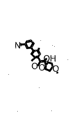 COC1CCC2(CC1)OC(=O)C(c1cc(C)c(-c3cccc(C#N)c3)cc1C)=C2O